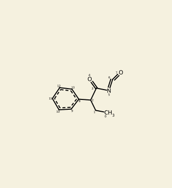 CCC(C(=O)N=C=O)c1ccccc1